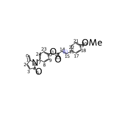 C=C1C=CC(=O)N1c1ccc(OC(=O)/C=C/C2C=CC(OC)=CC2)cc1